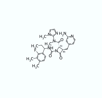 CCC(NC(=O)N1C(=O)[C@H](Cc2ccnc(N)c2)[C@H]1C(=O)N(C)c1nccn1C)c1ccc(C)c(C)c1F